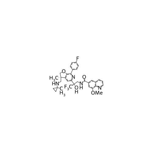 COc1cc(C(=O)NC[C@](O)(c2cc3c(c(-c4ccc(F)cc4)n2)OC[C@]3(C)CNC2(C)CC2)C(F)(F)F)cc2cccnc12